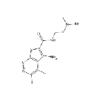 CC(=O)N(C)CCNC(=O)c1sc2nnc(C)c(C)c2c1N